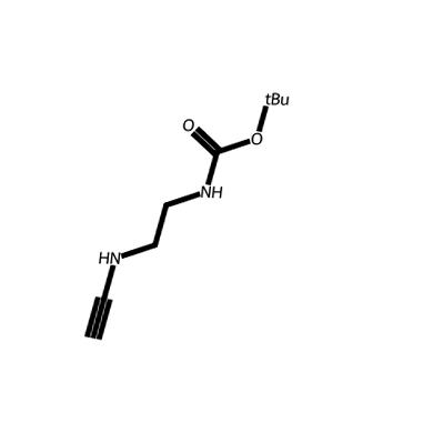 C#CNCCNC(=O)OC(C)(C)C